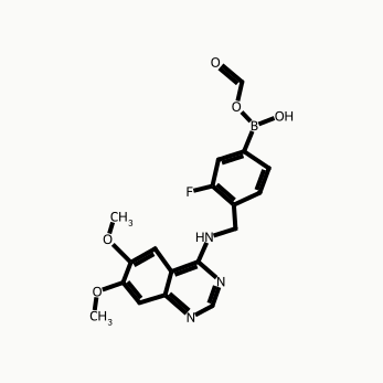 COc1cc2ncnc(NCc3ccc(B(O)OC=O)cc3F)c2cc1OC